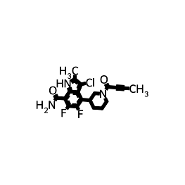 CC#CC(=O)N1CCCC(c2c(F)c(F)c(C(N)=O)c3[nH]c(C)c(Cl)c23)C1